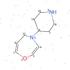 C1=COC=CN(C2CCNCC2)C1